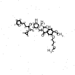 COCCCOc1cc(C(=O)N(C[C@@H]2CNC[C@H]2CN(C(=O)CCc2ccco2)C2CC2)C(C)C)ccc1OC